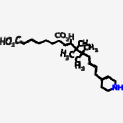 CC(C)(CCCCC1CCNCC1)C(C)(C)C(CCCCCCCC(=O)O)C(=O)O